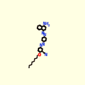 CCCCCCCCOc1ccc(N=Nc2ccc(N=Nc3ccc(N)c4ccccc34)cc2)cc1C#N